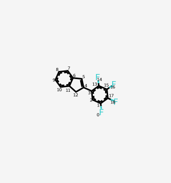 Fc1cc(C2=Cc3ccccc3C2)c(F)c(F)c1F